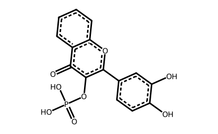 O=c1c(OP(=O)(O)O)c(-c2ccc(O)c(O)c2)oc2ccccc12